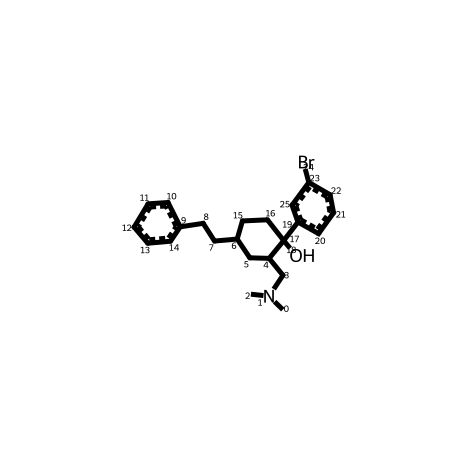 CN(C)CC1CC(CCc2ccccc2)CCC1(O)c1cccc(Br)c1